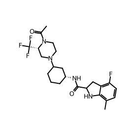 CC(=O)N1CCN(C2CCC[C@@H](NC(=O)C3Cc4c(F)ccc(C)c4N3)C2)C[C@@H]1C(F)(F)F